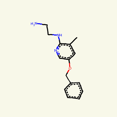 Cc1cc(OCc2ccccc2)cnc1NCCN